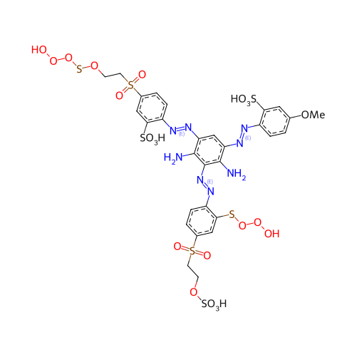 COc1ccc(/N=N/c2cc(/N=N/c3ccc(S(=O)(=O)CCOSOOO)cc3S(=O)(=O)O)c(N)c(/N=N/c3ccc(S(=O)(=O)CCOS(=O)(=O)O)cc3SOOO)c2N)c(S(=O)(=O)O)c1